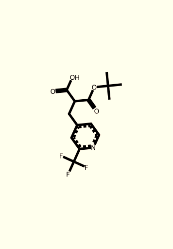 CC(C)(C)OC(=O)C(Cc1ccnc(C(F)(F)F)c1)C(=O)O